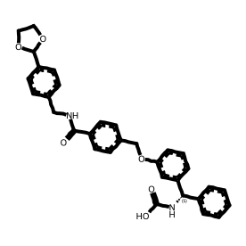 O=C(O)N[C@@H](c1ccccc1)c1cccc(OCc2ccc(C(=O)NCc3ccc(C4OCCO4)cc3)cc2)c1